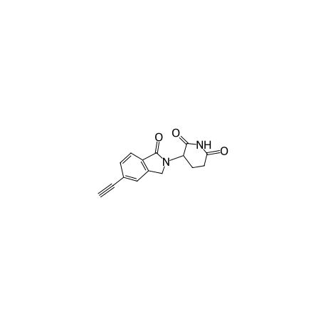 C#Cc1ccc2c(c1)CN(C1CCC(=O)NC1=O)C2=O